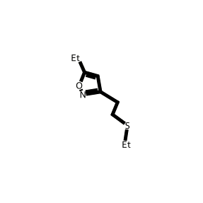 CCSCCc1cc(CC)on1